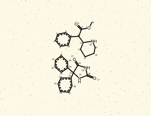 COC(=O)C(c1ccccc1)C1CCCCN1.O=C1NC(=O)C(c2ccccc2)(c2ccccc2)N1